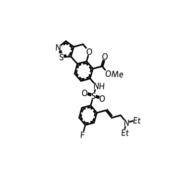 CCN(CC)CC=Cc1cc(F)ccc1S(=O)(=O)Nc1ccc2c(c1C(=O)OC)OCc1cnsc1-2